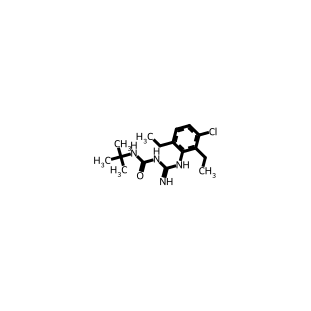 CCc1ccc(Cl)c(CC)c1NC(=N)NC(=O)NC(C)(C)C